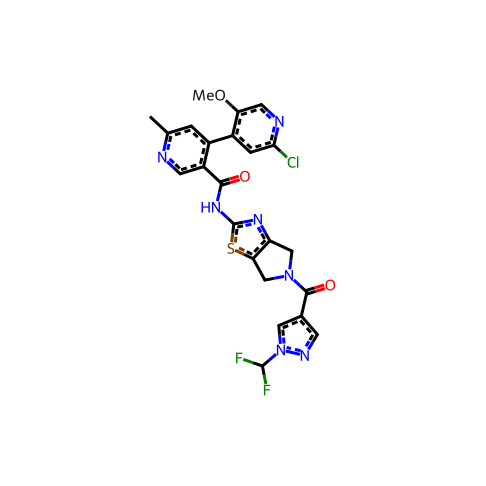 COc1cnc(Cl)cc1-c1cc(C)ncc1C(=O)Nc1nc2c(s1)CN(C(=O)c1cnn(C(F)F)c1)C2